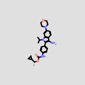 CC(C)n1c(-c2ccc(NC(=O)O[C@H](C)C3CC3)cc2)c(N)c2ccc(N3CCOCC3)cc21